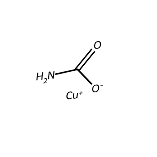 NC(=O)[O-].[Cu+]